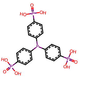 O=P(O)(O)c1ccc(P(c2ccc(P(=O)(O)O)cc2)c2ccc(P(=O)(O)O)cc2)cc1